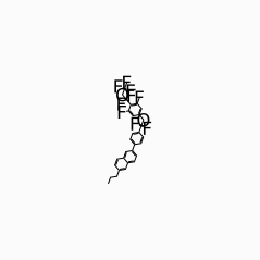 CCCc1ccc2cc(-c3ccc(C(F)(F)Oc4cc(F)c(C(F)(F)OC(F)(F)F)c(F)c4)cc3)ccc2c1